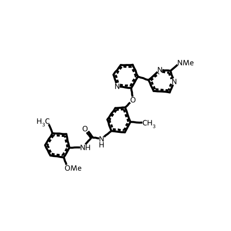 CNc1nccc(-c2cccnc2Oc2ccc(NC(=O)Nc3cc(C)ccc3OC)cc2C)n1